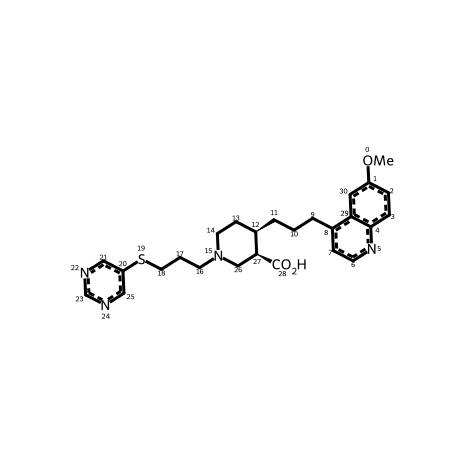 COc1ccc2nccc(CCC[C@@H]3CCN(CCCSc4cncnc4)C[C@@H]3C(=O)O)c2c1